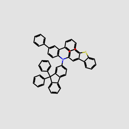 c1ccc(-c2ccc(N(c3ccc4c(c3)C(c3ccccc3)(c3ccccc3)c3ccccc3-4)c3ccc4sc5ccccc5c4c3)c(-c3ccccc3)c2)cc1